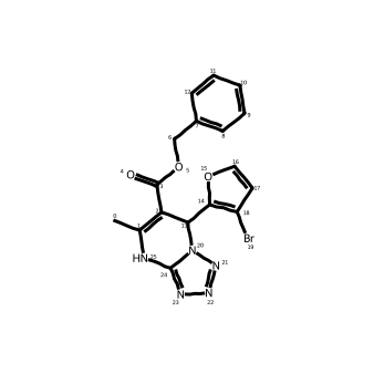 CC1=C(C(=O)OCc2ccccc2)C(c2occc2Br)n2nnnc2N1